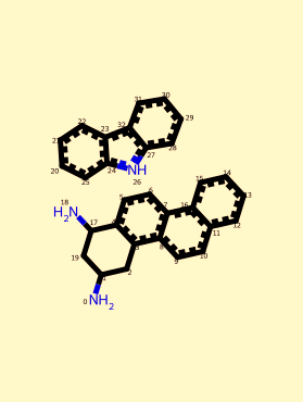 NC1Cc2c(ccc3c2ccc2ccccc23)C(N)C1.c1ccc2c(c1)[nH]c1ccccc12